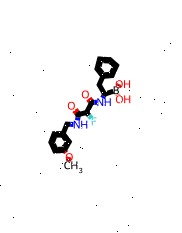 COc1cccc(CNC(=O)C(F)C(=O)NC(Cc2ccccc2)B(O)O)c1